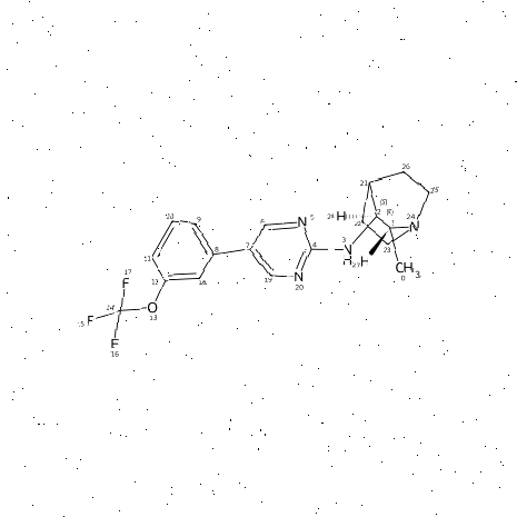 C[C@@H]1[C@@H](Nc2ncc(-c3cccc(OC(F)(F)F)c3)cn2)C2CCN1CC2